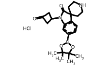 CC1(C)OB(c2ccc3c(c2)N(C2CC(=O)C2)C(=O)C32CCNCC2)OC1(C)C.Cl